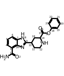 NC(=O)c1cccc2[nH]c(C3CCNC(C(=O)Oc4ccccc4)C3)nc12